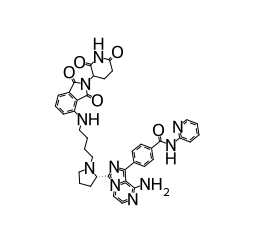 Nc1nccn2c([C@@H]3CCCN3CCCCNc3cccc4c3C(=O)N(C3CCC(=O)NC3=O)C4=O)nc(-c3ccc(C(=O)Nc4ccccn4)cc3)c12